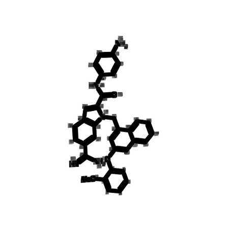 COc1ccccc1Oc1cc(Cn2c(C(=O)Nc3ccc(N)cc3)cc3ccc(C(=N)N)cc32)c2ccccc2c1